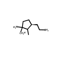 BCC[C@@H]1CCC(N)(C(=O)O)C1C